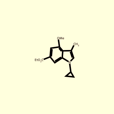 CCOC(=O)c1cc(OC)c2c(C)cn(C3CC3)c2c1